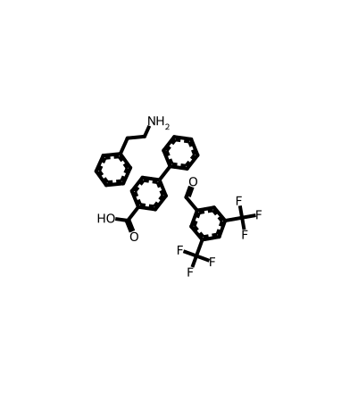 NCCc1ccccc1.O=C(O)c1ccc(-c2ccccc2)cc1.O=Cc1cc(C(F)(F)F)cc(C(F)(F)F)c1